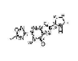 Cc1nc(-c2nc3sc([C@H]4CCCN4)nc3c(=O)n2C)no1